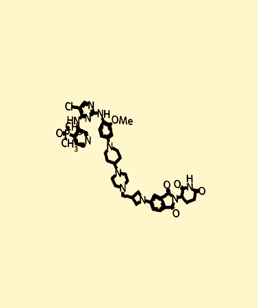 COc1cc(N2CCC(N3CCN(CC4CN(c5ccc6c(c5)C(=O)N(C5CCC(=O)NC5=O)C6=O)C4)CC3)CC2)ccc1Nc1ncc(Cl)c(Nc2cnccc2P(C)(C)=O)n1